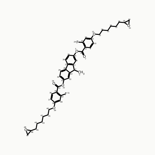 CC1c2cc(OC(=O)c3ccc(OCCCCCCC4CO4)cc3F)ccc2-c2ccc(OC(=O)c3ccc(OCCCCCCC4CO4)cc3F)cc21